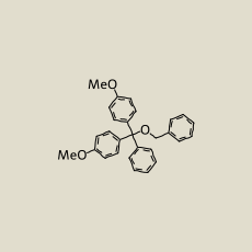 COc1ccc(C(OCc2ccccc2)(c2ccccc2)c2ccc(OC)cc2)cc1